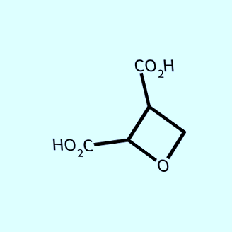 O=C(O)C1COC1C(=O)O